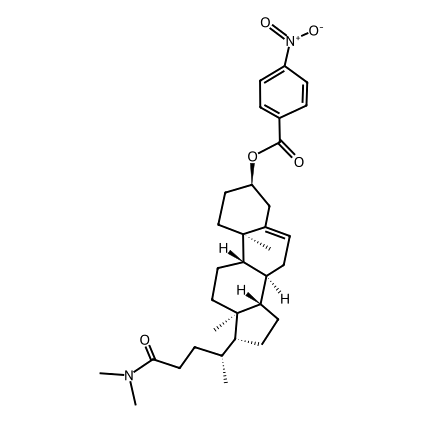 C[C@H](CCC(=O)N(C)C)[C@H]1CC[C@H]2[C@@H]3CC=C4C[C@H](OC(=O)c5ccc([N+](=O)[O-])cc5)CC[C@]4(C)[C@H]3CC[C@]12C